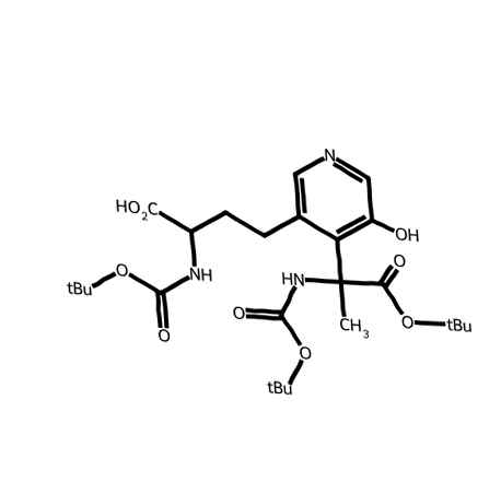 CC(C)(C)OC(=O)NC(CCc1cncc(O)c1C(C)(NC(=O)OC(C)(C)C)C(=O)OC(C)(C)C)C(=O)O